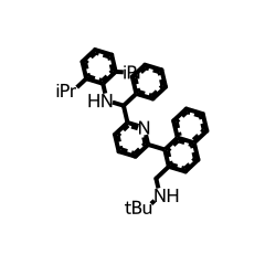 CC(C)c1cccc(C(C)C)c1NC(c1ccccc1)c1cccc(-c2c(CNC(C)(C)C)ccc3ccccc23)n1